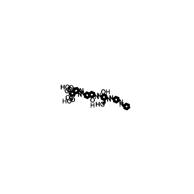 O=S(=O)(O)c1cc(S(=O)(=O)O)c2ccc3nn(-c4ccc5c(O)c(N=Nc6cc(CO)c(N=Nc7ccc(N=Nc8ccccc8)cc7)cc6O)ccc5c4)nc3c2c1